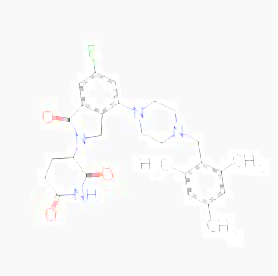 Cc1cc(C)c(CN2CCN(c3cc(F)cc4c3CN(C3CCC(=O)NC3=O)C4=O)CC2)c(C)c1